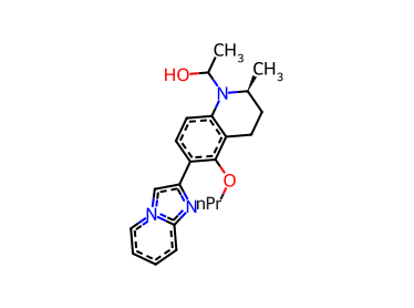 CCCOc1c(-c2cn3ccccc3n2)ccc2c1CC[C@H](C)N2C(C)O